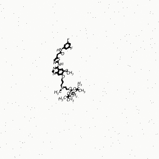 COc1cc2c(Nc3ncc(CC(=O)Nc4cc(F)cc(F)c4)s3)ncnc2cc1OCCCN(C)CCOP(=O)(OC(C)(C)C)OC(C)(C)C